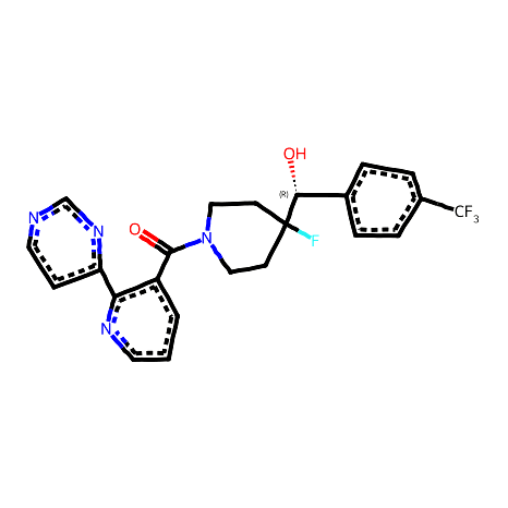 O=C(c1cccnc1-c1ccncn1)N1CCC(F)([C@H](O)c2ccc(C(F)(F)F)cc2)CC1